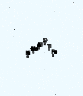 [Al].[Fe].[Li].[Mn].[Ni].[Ti]